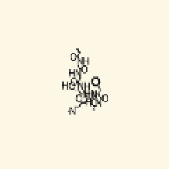 C=CC(=O)NCC(=O)NCC(=O)N[C@@H](CO)C(=O)NC(CCCCN(C)C)C(=O)N[C@@H](Cc1ccccc1)C(N)=O